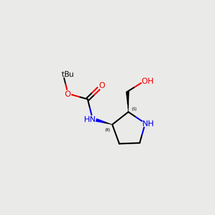 CC(C)(C)OC(=O)N[C@@H]1CCN[C@@H]1CO